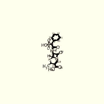 CC1S[C@@H]2C(NC(=O)C(c3ccccc3)S(=O)(=O)O)C(=O)N2C=C1C(=O)O